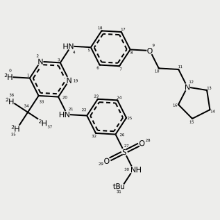 [2H]c1nc(Nc2ccc(OCCN3CCCC3)cc2)nc(Nc2cccc(S(=O)(=O)NC(C)(C)C)c2)c1C([2H])([2H])[2H]